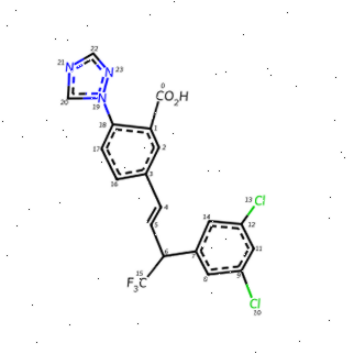 O=C(O)c1cc(C=CC(c2cc(Cl)cc(Cl)c2)C(F)(F)F)ccc1-n1cncn1